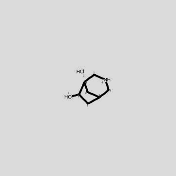 Cl.OC1CC2CNCC1C2